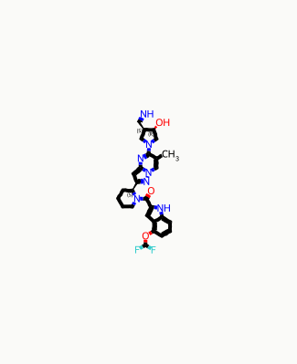 Cc1cn2nc([C@@H]3CCCCN3C(=O)c3cc4c(OC(F)F)cccc4[nH]3)cc2nc1N1C[C@@H](C=N)[C@@H](O)C1